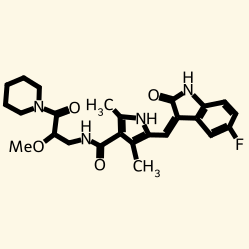 COC(CNC(=O)c1c(C)[nH]c(/C=C2\C(=O)Nc3ccc(F)cc32)c1C)C(=O)N1CCCCC1